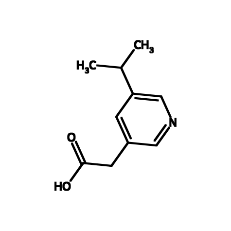 CC(C)c1cncc(CC(=O)O)c1